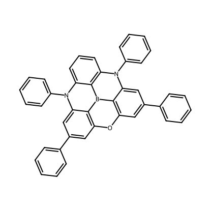 c1ccc(-c2cc3c4c(c2)N(c2ccccc2)c2cccc5c2B4c2c(cc(-c4ccccc4)cc2N5c2ccccc2)O3)cc1